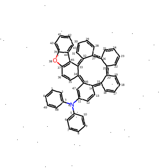 c1ccc(N(c2ccccc2)c2ccc3c4ccccc4c4ccccc4c4ccccc4c4c(ccc5oc6ccccc6c54)c3c2)cc1